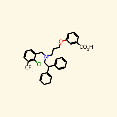 O=C(O)c1cccc(OCCCN(Cc2cccc(C(F)(F)F)c2Cl)CC(C2=CCCC=C2)c2ccccc2)c1